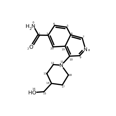 NC(=O)c1ccc2cncc(N3CCC(CO)CC3)c2c1